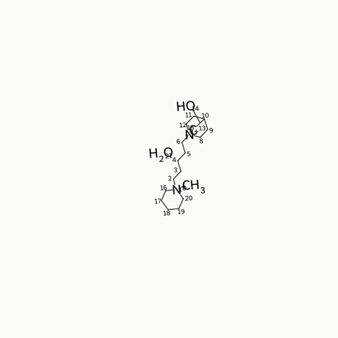 C[N+]1(CCCCC[N+]23CCC(CC2)C(O)C3)CCCCC1.O